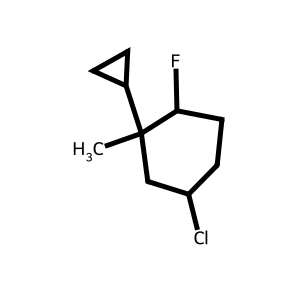 CC1(C2CC2)CC(Cl)CCC1F